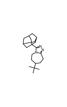 CC(C)(C)C1CCc2nnc(C34CC5CC(CC(C5)C3)C4)n2CC1